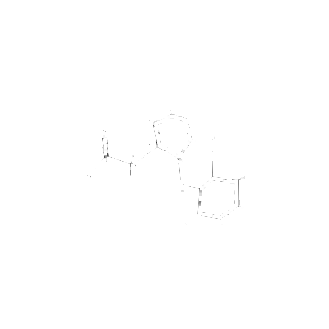 NC(=S)Nc1ccccc1Oc1c(Cl)cccc1Cl